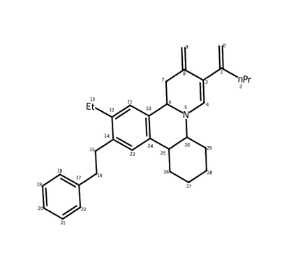 C=C(CCC)C1=CN2C(CC1=C)c1cc(CC)c(CCc3ccccc3)cc1C1CCCCC12